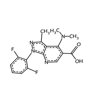 Cc1nn(-c2c(F)cccc2F)c2ncc(C(=O)O)c(N(C)C)c12